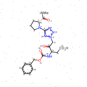 CNC(=O)[C@H]1CCCN1c1nnn(CC(=O)C(CC(=O)O)NC(=O)OCc2ccccc2)n1